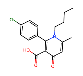 CCCCn1c(C)cc(=O)c(C(=O)O)c1-c1ccc(Cl)cc1